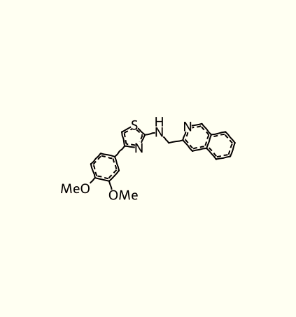 COc1ccc(-c2csc(NCc3cc4ccccc4cn3)n2)cc1OC